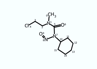 CN(CCCl)C(=O)N(N=O)C1CCCCC1